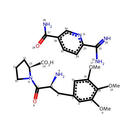 COc1cc(C[C@H](N)C(=O)N2CCC[C@H]2C(=O)O)cc(OC)c1OC.N=C(N)c1ccc(C(N)=O)cn1